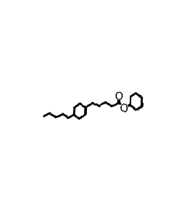 CCCCCC1CCC(CCCCC(=O)OC2CCCCC2)CC1